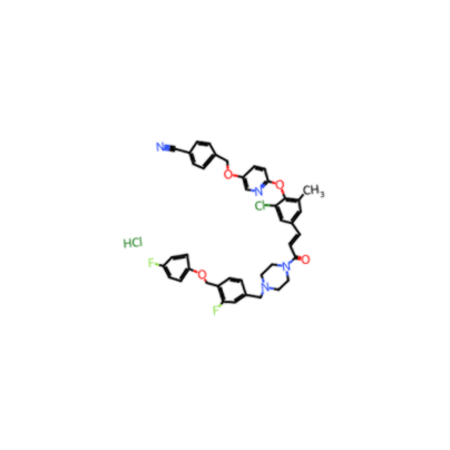 Cc1cc(C=CC(=O)N2CCN(Cc3ccc(COc4ccc(F)cc4)c(F)c3)CC2)cc(Cl)c1Oc1ccc(OCc2ccc(C#N)cc2)cn1.Cl